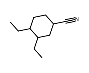 CCC1CCC(C#N)CC1CC